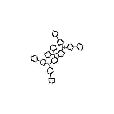 C1=CCCC(C2=CC=C(N(c3ccc(-c4ccccc4)cc3)c3ccc4c(c3)C(c3ccccc3)(c3ccccc3)c3cc(N(c5ccc(-c6ccccc6)cc5)c5ccc(-c6ccccc6)cc5)ccc3-4)CC2)=C1